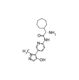 Cn1ncc(O)c1-c1ccc(NC(=O)[C@@H](N)C2CCCCCC2)nc1